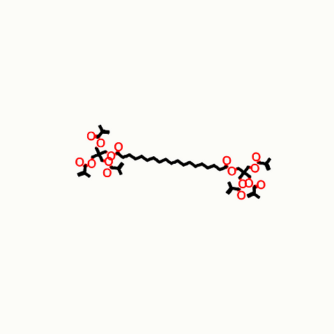 C=C(C)C(=O)OCC(COC(=O)CCCCCCCCCCCCCCCCCC(=O)OCC(COC(=O)C(=C)C)(COC(=O)C(=C)C)COC(=O)C(=C)C)(COC(=O)C(=C)C)COC(=O)C(=C)C